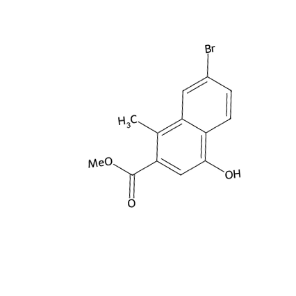 COC(=O)c1cc(O)c2ccc(Br)cc2c1C